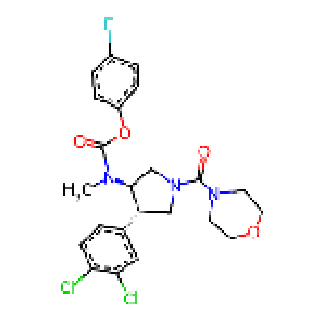 CN(C(=O)Oc1ccc(F)cc1)[C@H]1CN(C(=O)N2CCOCC2)C[C@@H]1c1ccc(Cl)c(Cl)c1